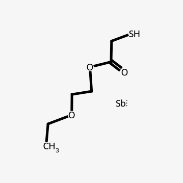 CCOCCOC(=O)CS.[Sb]